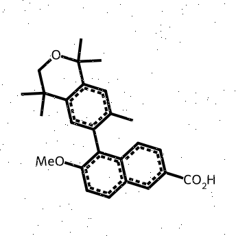 COc1ccc2cc(C(=O)O)ccc2c1-c1cc2c(cc1C)C(C)(C)OCC2(C)C